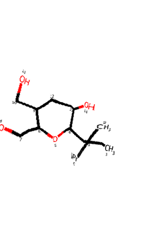 CC(C)C(C)(C)C1OC(CO)C(CO)CC1O